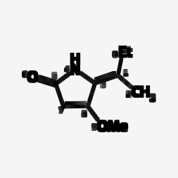 CC/C(C)=C1\NC(=O)C=C1OC